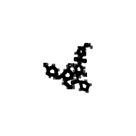 Cc1cc(Nc2ccc(F)cc2)c(C=N)cc1[C@@]12CN(S(=O)(=O)c3cnn(C)n3)C[C@@H]1[C@H]2C(=O)N1CCCC1